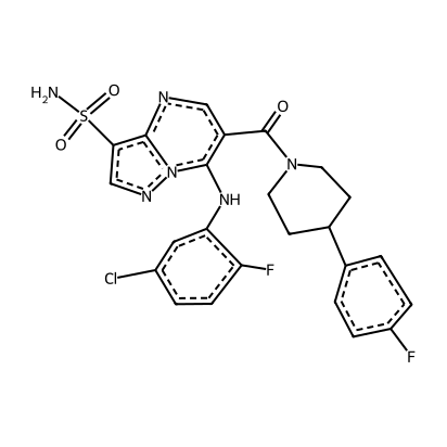 NS(=O)(=O)c1cnn2c(Nc3cc(Cl)ccc3F)c(C(=O)N3CCC(c4ccc(F)cc4)CC3)cnc12